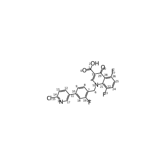 O=C(O)c1cn(Cc2ccc(-c3ccc(Cl)nc3)cc2F)c2c(F)ccc(F)c2c1=O